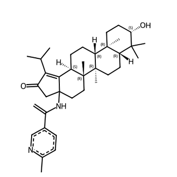 C=C(NC12CC[C@]3(C)[C@H](CC[C@@H]4[C@@]5(C)CC[C@H](O)C(C)(C)[C@@H]5CC[C@]43C)C1=C(C(C)C)C(=O)C2)c1ccc(C)nc1